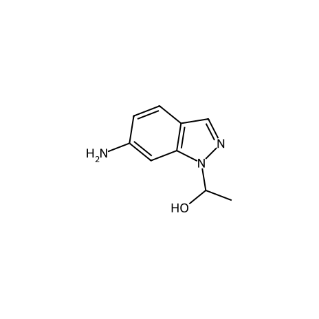 CC(O)n1ncc2ccc(N)cc21